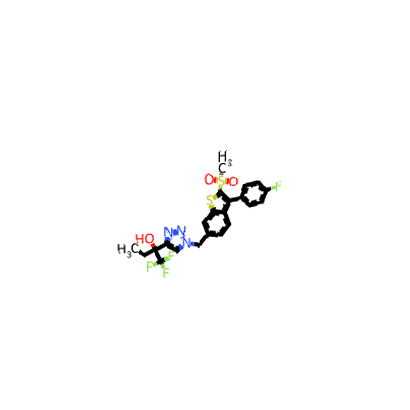 CCC(O)(c1cn(Cc2ccc3c(-c4ccc(F)cc4)c(S(C)(=O)=O)sc3c2)nn1)C(F)(F)F